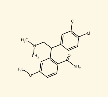 CN(C)CC(c1ccc(Cl)c(Cl)c1)c1cc(OC(F)(F)F)ccc1C(N)=O